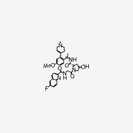 COc1ccc([C@@H](C)NC(=O)[C@@H]2C[C@@H](O)CN2C(=O)CNC(=O)c2ccc3cc(F)ccc3n2)c(C2=CCN(C)CC2)c1